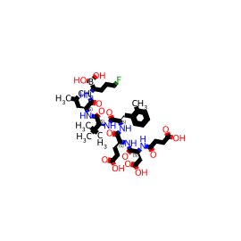 Cc1ccccc1C[C@H](NC(=O)[C@H](CCC(=O)O)NC(=O)[C@H](CC(=O)O)NC(=O)CCC(=O)O)C(=O)N[C@H](C(=O)N[C@@H](CC(C)C)C(=O)NC(CCCF)B(O)O)C(C)(C)C